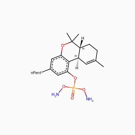 CCCCCc1cc2c(c(OP(=O)(ON)ON)c1)[C@@H]1C=C(C)CC[C@H]1C(C)(C)O2